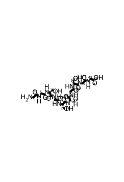 NCC(=O)NCC(=O)N[C@@H](CO)C(=O)NCC(=O)N[C@@H](CO)C(=O)N[C@@H](CO)C(=O)NCC(=O)N[C@@H](CO)C(=O)NCC(=O)NCC(=O)O